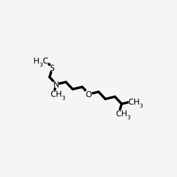 CSCN(C)CCCOCCCC(C)C